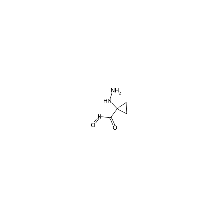 NNC1(C(=O)N=O)CC1